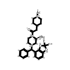 CC(=O)N1CCC(CC(=O)N2CCN(C(c3ccccc3)c3cccc4c3OC(F)(F)O4)C[C@@H]2C(C)(C)C)CC1